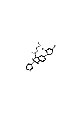 COCCN(C)c1nc(-c2cccnc2)nc2ccc(-c3ccc(F)cc3F)cc12